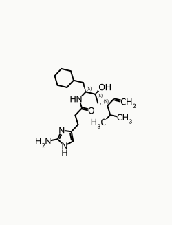 C=C[C@@H](C[C@H](O)[C@H](CC1CCCCC1)NC(=O)CCc1c[nH]c(N)n1)C(C)C